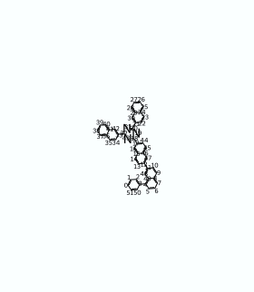 c1ccc(-c2cccc3ccc(-c4ccc5cc(-c6nc(-c7ccc8ccccc8c7)nc(-c7ccc8ccccc8c7)n6)ccc5c4)cc23)cc1